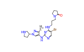 Cc1nn(C2CCNC2)cc1Nc1ncc(Br)c(NCCCN2CCCC2=O)n1